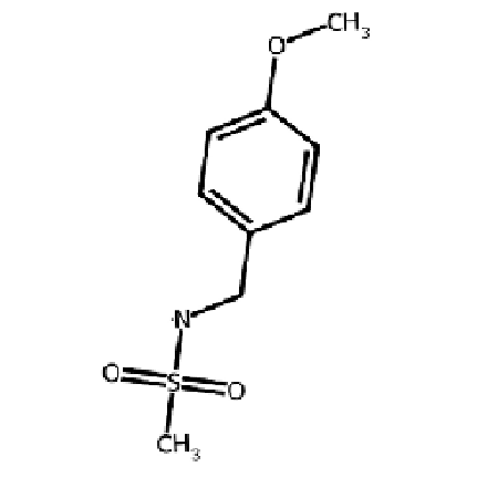 COc1ccc(C[N]S(C)(=O)=O)cc1